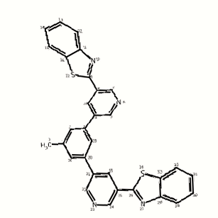 Cc1cc(-c2cncc(-c3nc4ccccc4s3)c2)cc(-c2cncc(-c3nc4ccccc4s3)c2)c1